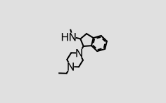 CCN1CCN(C2c3ccccc3CC2NC)CC1